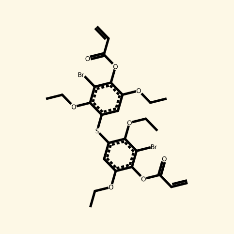 C=CC(=O)Oc1c(OCC)cc(Sc2cc(OCC)c(OC(=O)C=C)c(Br)c2OCC)c(OCC)c1Br